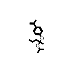 C=C(C)c1ccc(OC(C)(CCC)OC(C)C)cc1